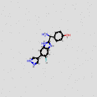 NC(c1ccc(O)cc1)c1nc2cc(F)c(-c3cn[nH]c3)cc2[nH]1